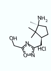 CC1(C)[C@H](Cc2noc(CO)n2)CC[C@]1(C)N.Cl